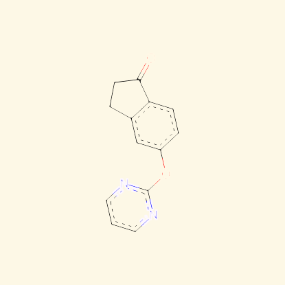 O=C1CCc2cc(Oc3ncccn3)ccc21